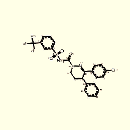 O=C(NS(=O)(=O)c1cccc(C(F)(F)F)c1)N1CCC(c2ccccc2)C(c2ccc(Cl)cc2)=N1